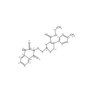 CCOC(=O)C1=C(c2ccc(C)cc2)CCN(CCn2c(=O)[nH]c3ccccc3c2=O)C1